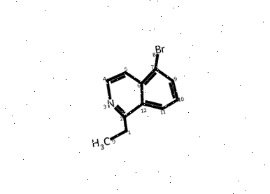 CCc1nccc2c(Br)cccc12